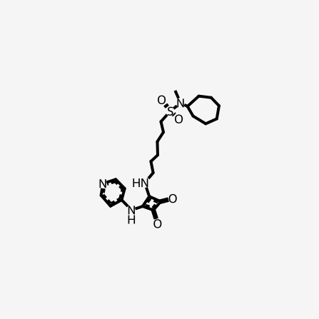 CN(C1CCCCCC1)S(=O)(=O)CCCCCCNc1c(Nc2ccncc2)c(=O)c1=O